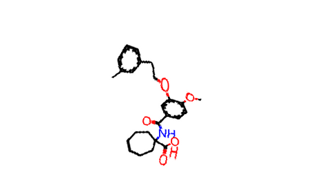 COc1ccc(C(=O)NC2(C(=O)O)CCCCCC2)cc1OCCc1cccc(C)c1